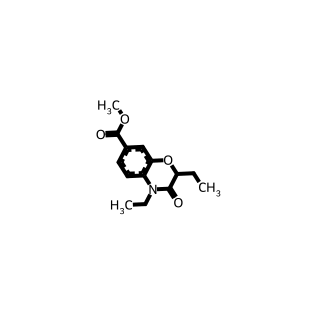 CCC1Oc2cc(C(=O)OC)ccc2N(CC)C1=O